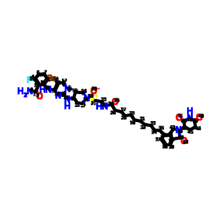 NC(=O)c1c(F)cccc1Nc1nc(NC2CCN([S+]([O-])CCNC(=O)CCCCCCCCCCc3cccc4c3CN(C3CCC(=O)NC3=O)C4=O)CC2)ncc1Br